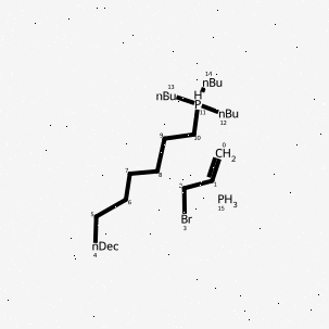 C=CCBr.CCCCCCCCCCCCCCCC[PH](CCCC)(CCCC)CCCC.P